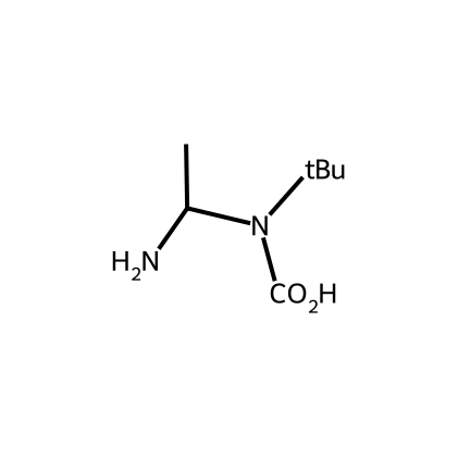 CC(N)N(C(=O)O)C(C)(C)C